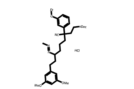 CCCCCCCCCCCCC(C#N)(CCCC(CCc1cc(OC)cc(OC)c1)/N=N/C)c1cccc(OCC)c1.Cl